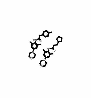 Cc1cc(N2CCOCC2)cc(C)c1NC(=O)CCC1CCCC1.Cc1cc(N2CCOCC2)cc(C)c1NC(=O)Cc1ccc(F)cc1